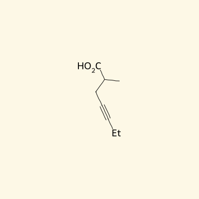 CCC#CCC(C)C(=O)O